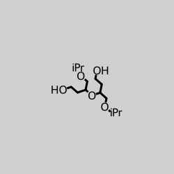 CC(C)OCC(CCO)OC(CCO)COC(C)C